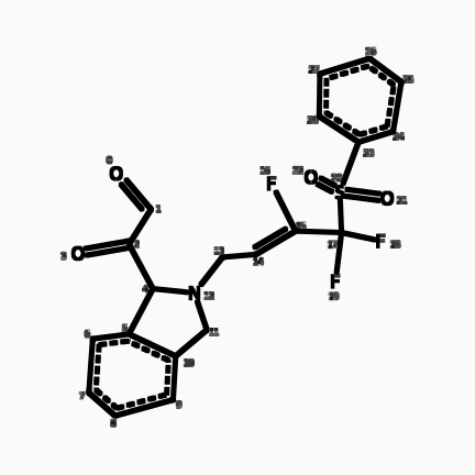 O=CC(=O)C1c2ccccc2CN1CC=C(F)C(F)(F)S(=O)(=O)c1ccccc1